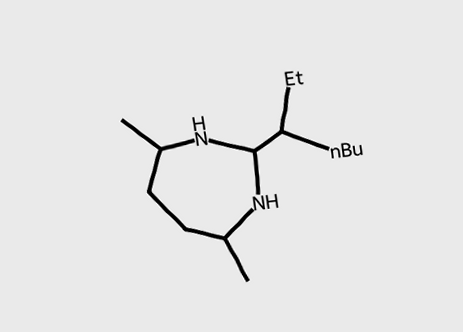 CCCCC(CC)C1NC(C)CCC(C)N1